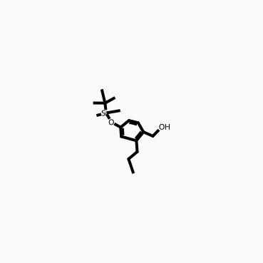 CCCc1cc(O[Si](C)(C)C(C)(C)C)ccc1CO